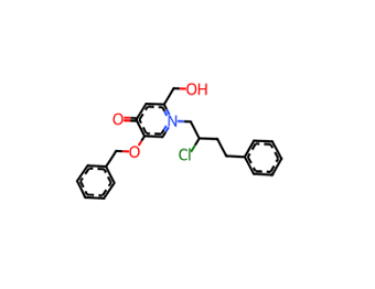 O=c1cc(CO)n(CC(Cl)CCc2ccccc2)cc1OCc1ccccc1